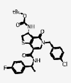 CC(NC(=O)c1cn(Cc2ccc(Cl)cc2)c(=O)c2c1SC[C@@H]2NC(=O)OC(C)(C)C)c1ccc(F)cc1